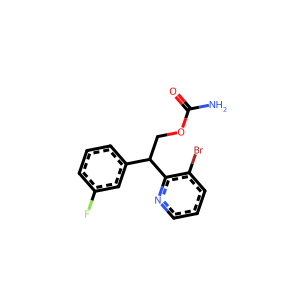 NC(=O)OCC(c1cccc(F)c1)c1ncccc1Br